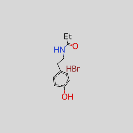 Br.CCC(=O)NCCc1ccc(O)cc1